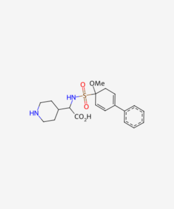 COC1(S(=O)(=O)NC(C(=O)O)C2CCNCC2)C=CC(c2ccccc2)=CC1